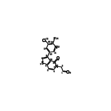 O=CCn1ccc2scc(-c3cnc(F)c(Cl)c3)c2c1=O